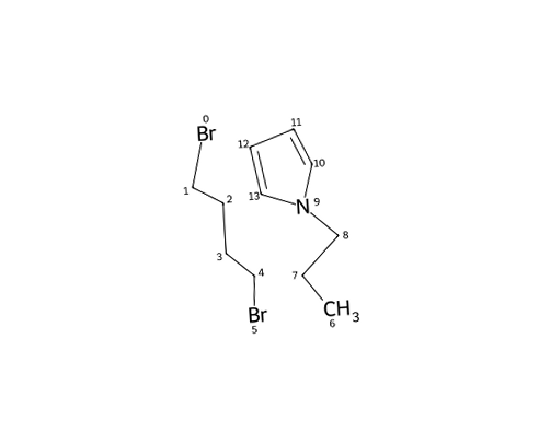 BrCCCCBr.CCCn1cccc1